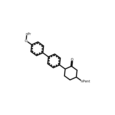 CCCCCC1CCC(c2ccc(-c3ccc(OCCC)cc3)cc2)C(=O)C1